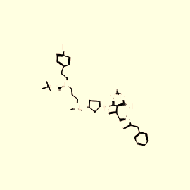 CN(CCCN(CCc1ccc(F)cc1)C(=O)OC(C)(C)C)C[C@@H]1CC[C@H](n2cc(-c3nc(Cc4ccccc4)cs3)c3c(N)nc(Cl)nc32)C1